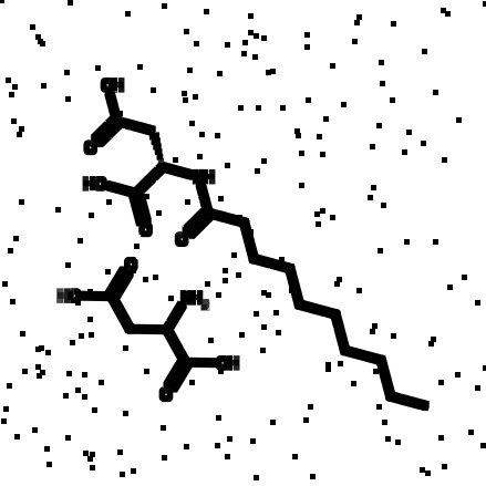 CCCCCCCCCC(=O)N[C@@H](CC(=O)O)C(=O)O.NC(CC(=O)O)C(=O)O